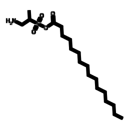 CCCCCCCCCCCCCCCC(=O)OS(=O)(=O)C(C)CN